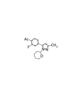 CC(=O)c1ccc(-c2cc(C)nn2C2CCCCO2)cc1F